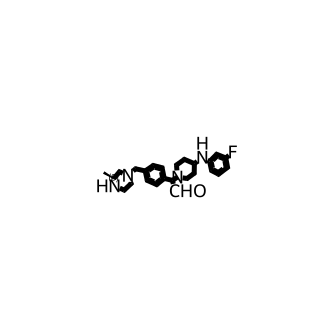 C[C@H]1CN(Cc2ccc(C(C=O)N3CCC(Nc4cccc(F)c4)CC3)cc2)CCN1